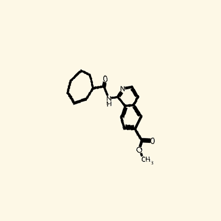 COC(=O)c1ccc2c(NC(=O)C3CCCCCC3)nccc2c1